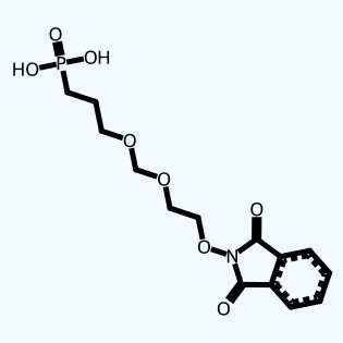 O=C1c2ccccc2C(=O)N1OCCOCOCCCP(=O)(O)O